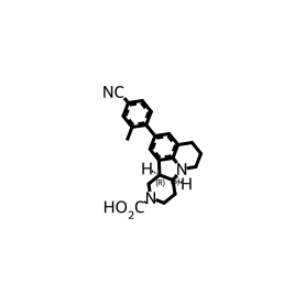 Cc1cc(C#N)ccc1-c1cc2c3c(c1)[C@@H]1CN(C(=O)O)CC[C@@H]1N3CCC2